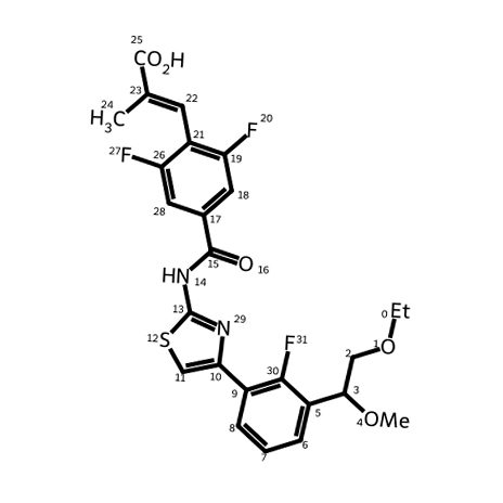 CCOCC(OC)c1cccc(-c2csc(NC(=O)c3cc(F)c(/C=C(\C)C(=O)O)c(F)c3)n2)c1F